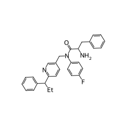 CCC(c1ccccc1)c1ccc(CN(C(=O)C(N)Cc2ccccc2)c2ccc(F)cc2)cn1